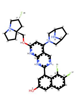 Oc1cc(-c2ncc3c(N4CC5CCC(C4)N5)cc(OC[C@@]45CCCN4C[C@H](F)C5)nc3n2)c2c(F)c(F)ccc2c1